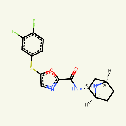 O=C(N[C@@H]1C[C@H]2CC[C@@H]1N2)c1ncc(Sc2ccc(F)c(F)c2)o1